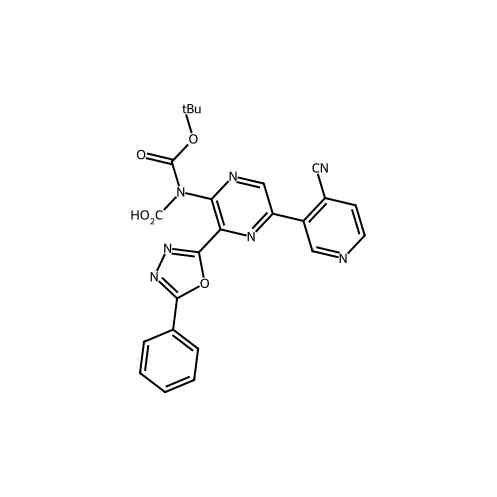 CC(C)(C)OC(=O)N(C(=O)O)c1ncc(-c2cnccc2C#N)nc1-c1nnc(-c2ccccc2)o1